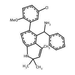 COc1ccc(Cl)cc1-c1ccc2c(c1C(N)c1ccccc1)C(C)=CC(C)(C)N2